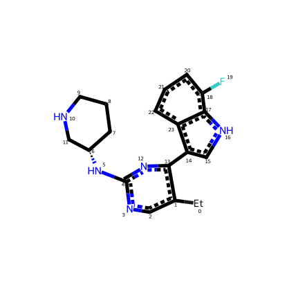 CCc1cnc(N[C@H]2CCCNC2)nc1-c1c[nH]c2c(F)cccc12